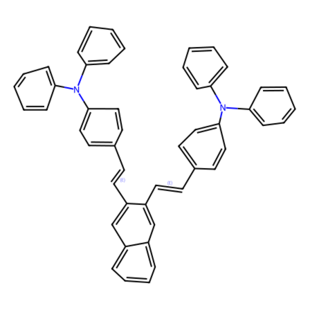 C(=C\c1cc2ccccc2cc1/C=C/c1ccc(N(c2ccccc2)c2ccccc2)cc1)/c1ccc(N(c2ccccc2)c2ccccc2)cc1